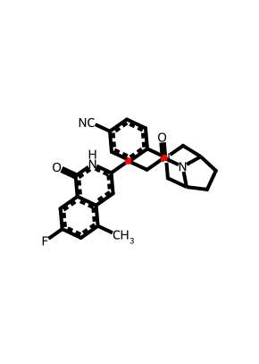 Cc1cc(F)cc2c(=O)[nH]c(CCC(=O)N3C4CCC3CN(c3ccc(C#N)cc3)C4)cc12